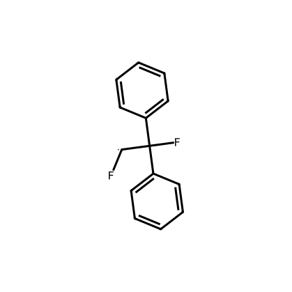 F[CH]C(F)(c1ccccc1)c1ccccc1